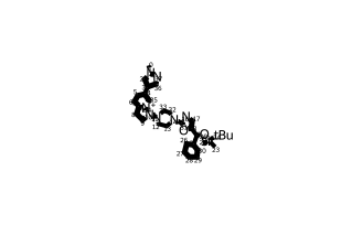 Cn1cc(-c2c[c]c3ccn(N4CCN(c5ncc(C(O[Si](C)(C)C(C)(C)C)c6ccccc6)o5)CC4)[n+]3c2)cn1